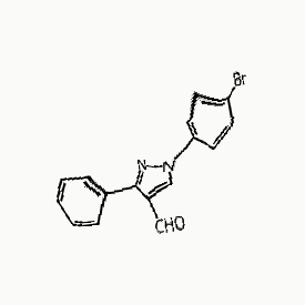 O=Cc1cn(-c2ccc(Br)cc2)nc1-c1ccccc1